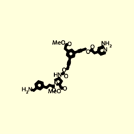 COC(=O)Cc1cc(C#CCOC(=O)Cc2ccnc(N)c2)cc(C#CCOC(=O)NC2CC(C(=O)OC)N(C(=O)CCc3cccc(CN)c3)C2)c1